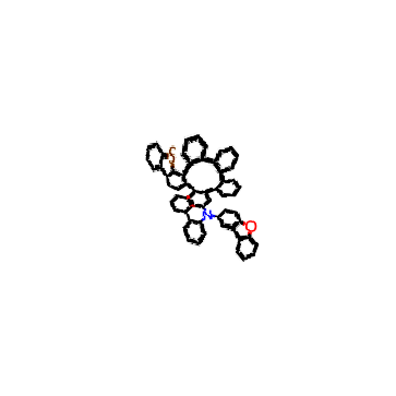 c1ccc(-c2ccccc2N(c2ccc3oc4ccccc4c3c2)c2ccc3c(c2)c2ccccc2c2ccccc2c2ccccc2c2c3ccc3c4ccccc4sc32)cc1